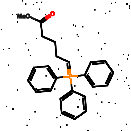 COC(=O)CCCC=P(c1ccccc1)(c1ccccc1)c1ccccc1